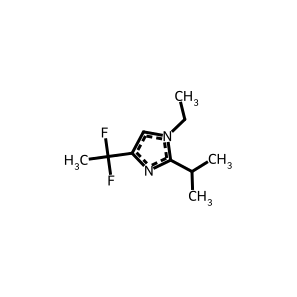 CCn1cc(C(C)(F)F)nc1C(C)C